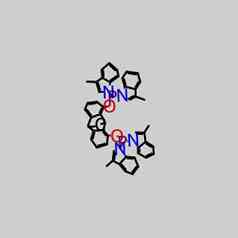 Cc1cn(P(Oc2cccc3c2C2CCC3c3cccc(OP(n4cc(C)c5ccccc54)n4cc(C)c5ccccc54)c32)n2cc(C)c3ccccc32)c2ccccc12